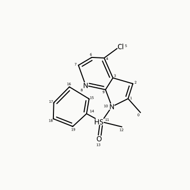 Cc1cc2c(Cl)ccnc2n1[SH](C)(=O)c1ccccc1